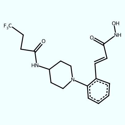 O=C(C=Cc1ccccc1N1CCC(NC(=O)CCC(F)(F)F)CC1)NO